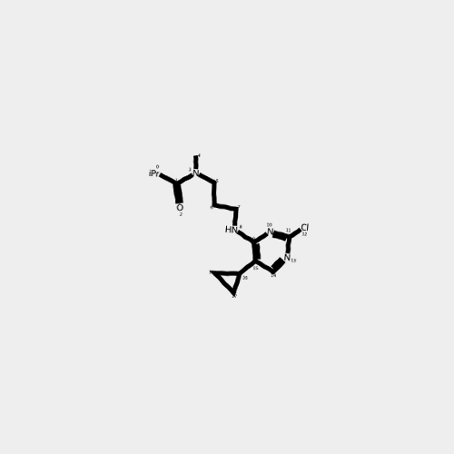 CC(C)C(=O)N(C)CCCNc1nc(Cl)ncc1C1CC1